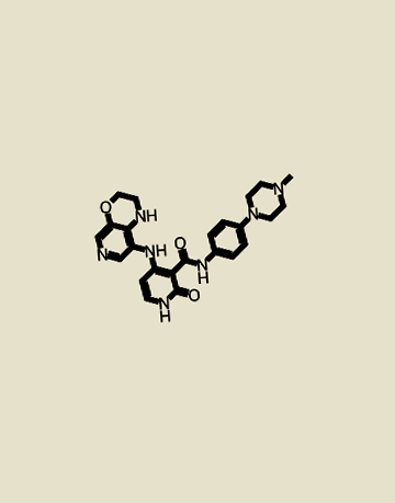 CN1CCN(c2ccc(NC(=O)c3c(Nc4cncc5c4NCCO5)cc[nH]c3=O)cc2)CC1